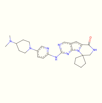 CN(C)C1CCN(c2ccc(Nc3ncc4cc5n(c4n3)C3(CCCC3)CNC5=O)nc2)CC1